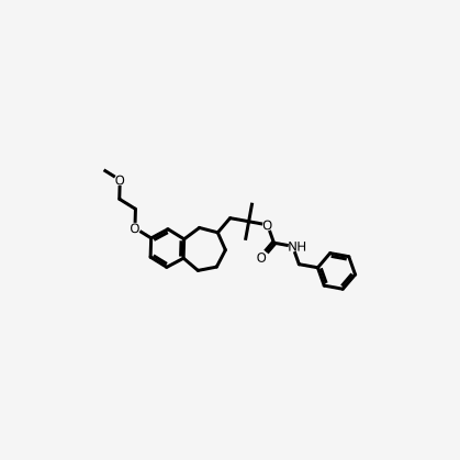 COCCOc1ccc2c(c1)CC(CC(C)(C)OC(=O)NCc1ccccc1)CCC2